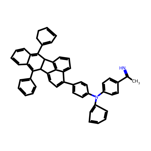 CC(=N)c1ccc(N(c2ccccc2)c2ccc(-c3ccc4c5c(cccc35)C3C(C5=CC=CCC5)=c5ccccc5=C(c5ccccc5)C43)cc2)cc1